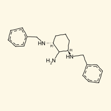 NC1[C@H](NCc2ccccc2)CCC[C@H]1NCc1ccccc1